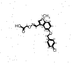 Cn1cc(C=NOCC(=O)O)c2cc(OCc3ccc(Cl)cc3)ccc21